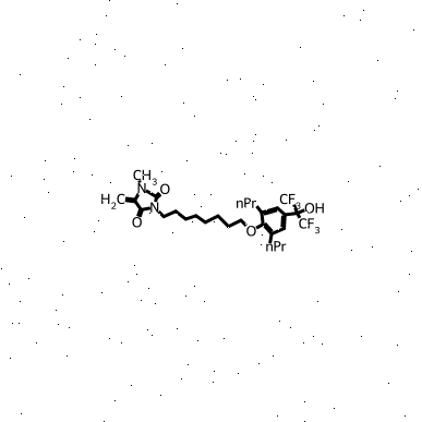 C=C1C(=O)N(CCCCCCCCOc2c(CCC)cc(C(O)(C(F)(F)F)C(F)(F)F)cc2CCC)C(=O)N1C